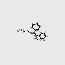 CNCCC=C(c1ccccc1)C1CCc2ccccc21